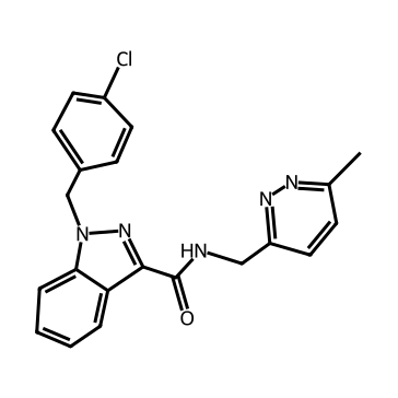 Cc1ccc(CNC(=O)c2nn(Cc3ccc(Cl)cc3)c3ccccc23)nn1